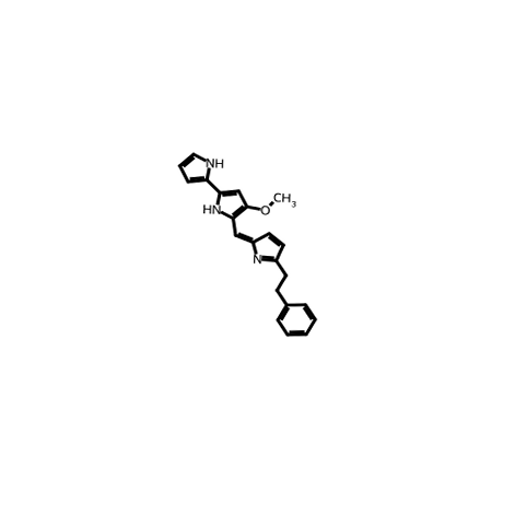 COc1cc(-c2ccc[nH]2)[nH]c1C=C1C=CC(CCc2ccccc2)=N1